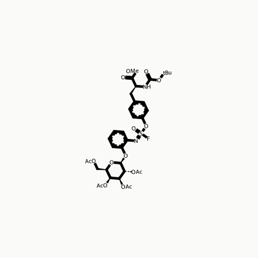 COC(=O)[C@H](Cc1ccc(OS(=O)(F)=Nc2ccccc2O[C@@H]2O[C@H](COC(C)=O)[C@H](OC(C)=O)[C@H](OC(C)=O)[C@H]2OC(C)=O)cc1)NC(=O)OC(C)(C)C